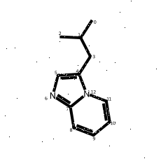 CC(C)Cc1cnc2ccccn12